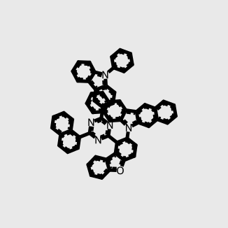 c1ccc(-n2c3ccccc3c3cc(-c4nc(-c5cccc6ccccc56)nc(-c5c(-n6c7cc8ccccc8cc7c7cc8ccccc8cc76)ccc6oc7ccccc7c56)n4)ccc32)cc1